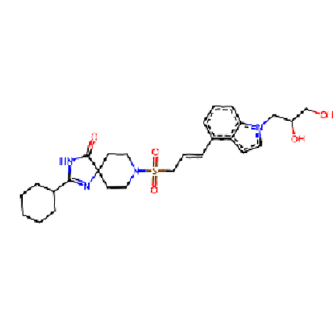 O=C1NC(C2CCCCC2)=NC12CCN(S(=O)(=O)CC=Cc1cccc3c1ccn3CC(O)CO)CC2